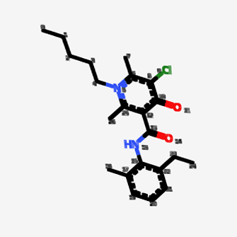 CCCCCn1c(C)c(Cl)c(=O)c(C(=O)Nc2c(C)cccc2CC)c1C